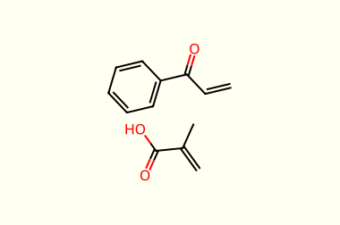 C=C(C)C(=O)O.C=CC(=O)c1ccccc1